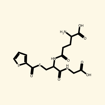 NC(CCC(=O)NC(CSC(=O)c1cccs1)C(=O)NCC(=O)O)C(=O)O